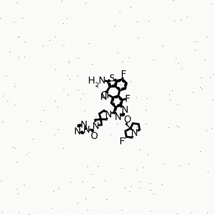 N#Cc1c(N)sc2c(F)ccc(-c3c(Cl)cc4c(N5CCC6(CN(C(=O)n7cncn7)C6)C5)nc(OC[C@@]56CCCN5C[C@H](F)C6)nc4c3F)c12